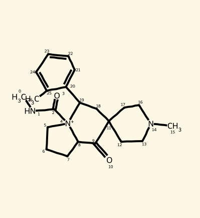 CNC(=O)[N+]12CCCC1C(=O)C1(CCN(C)CC1)CC2c1ccccc1C